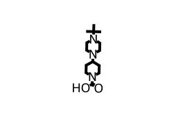 CC(C)(C)N1CCN(C2CCN(C(=O)O)CC2)CC1